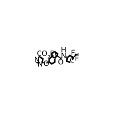 CCOC(=O)c1cc(Oc2ccc3c(C(=O)Nc4cccc(C(C)(F)F)c4)cccc3c2)ncn1